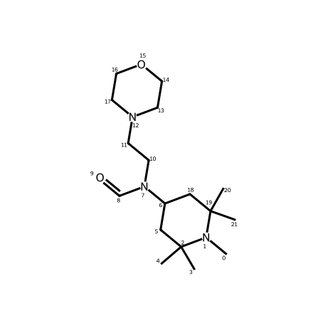 CN1C(C)(C)CC(N(C=O)CCN2CCOCC2)CC1(C)C